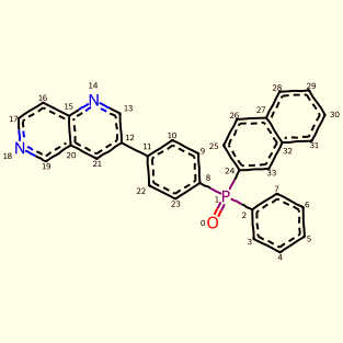 O=P(c1ccccc1)(c1ccc(-c2cnc3ccncc3c2)cc1)c1ccc2ccccc2c1